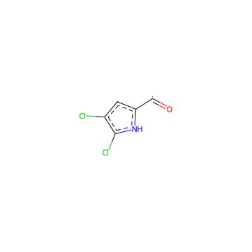 O=[C]c1cc(Cl)c(Cl)[nH]1